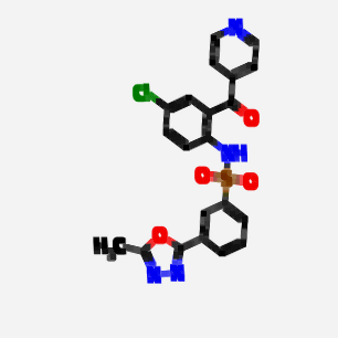 Cc1nnc(-c2cccc(S(=O)(=O)Nc3ccc(Cl)cc3C(=O)c3ccncc3)c2)o1